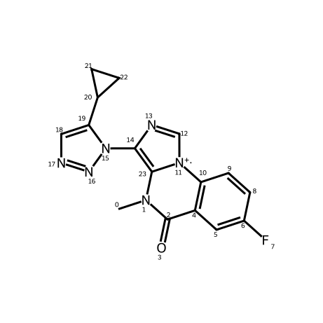 CN1C(=O)c2cc(F)ccc2[N+]2C=NC(n3nncc3C3CC3)=C12